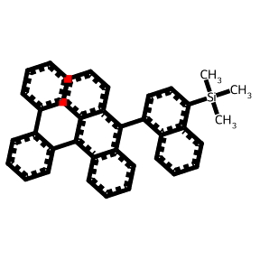 C[Si](C)(C)c1ccc(-c2c3ccccc3c(-c3ccccc3-c3ccccc3)c3ccccc23)c2ccccc12